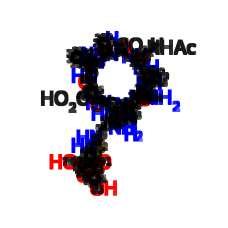 CC(=O)NCCCC[C@@H]1NC(=O)[C@H](CC(=O)O)NC(=O)[C@@H](Cc2ccccc2)NC(=O)[C@H](Cc2c[nH]c3ccccc23)NC(=O)c2cc(C(=O)O)cc(c2)C(=O)NC[C@@H](C(=O)N[C@@H](CCCCNC(=S)Nc2ccc3c(c2)C(=O)OC32c3ccc(O)cc3Oc3cc(O)ccc32)C(N)=O)NC(=O)[C@H](Cc2c[nH]cn2)NC(=O)[C@@H](CC(N)=O)NC(=O)[C@@H](Cc2ccccc2)NC1=O